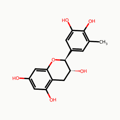 Cc1cc([C@@H]2Oc3cc(O)cc(O)c3C[C@H]2O)cc(O)c1O